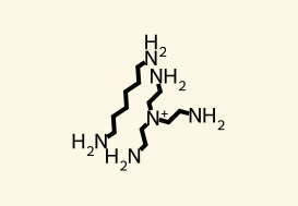 NCCCCCCN.NCC[N+](CCN)CCN